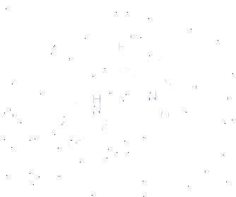 Cc1cc(C(=O)Nc2cccc(C(F)(F)F)c2)ccc1N1C(=O)CSC1c1ccc(F)cc1